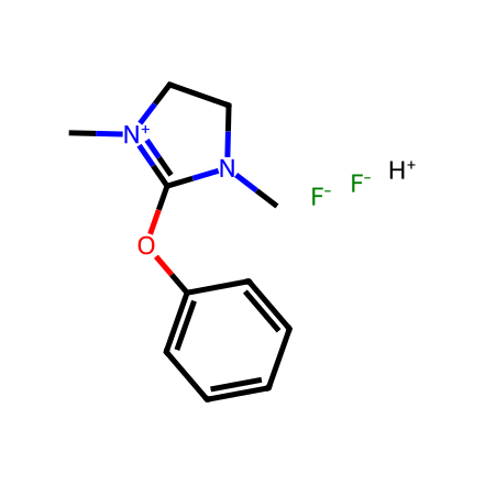 CN1CC[N+](C)=C1Oc1ccccc1.[F-].[F-].[H+]